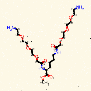 COC(=O)[C@H](CCCCNC(=O)COCCOCCOCCN)NC(=O)COCCOCCOCCN